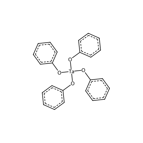 c1ccc([O][Ta]([O]c2ccccc2)([O]c2ccccc2)[O]c2ccccc2)cc1